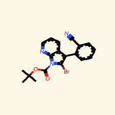 CC(C)(C)OC(=O)n1c(Br)c(-c2ccccc2C#N)c2cccnc21